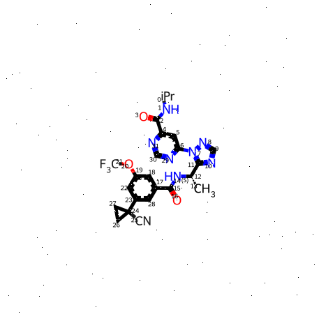 CC(C)NC(=O)c1cc(-n2ncnc2[C@H](C)NC(=O)c2cc(OC(F)(F)F)cc(C3(C#N)CC3)c2)ncn1